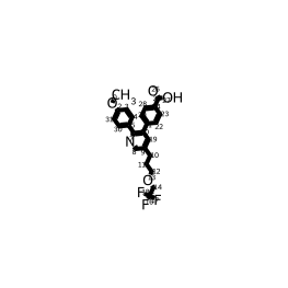 COc1ccc(-c2ncc(CCCOCC(F)(F)F)cc2-c2ccc(C(=O)O)cc2)cc1